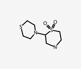 O=S1(=O)CC[N]CC1N1CCSCC1